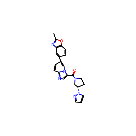 Cc1nc2cc(-c3ccc4ncc(C(=O)N5CC[C@H](n6cccn6)C5)n4c3)ccc2o1